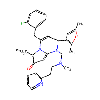 CCOC(=O)C1C(=O)C=C2N(CN(C)CCc3ccccn3)C(c3cc(C)oc3C)C=C(Cc3ccccc3F)N21